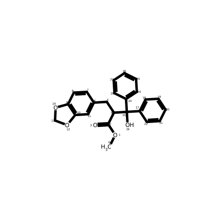 COC(=O)C(Cc1ccc2c(c1)OCO2)C(O)(c1ccccc1)c1ccccc1